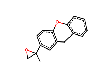 CC1(c2ccc3c(c2)Cc2ccccc2O3)CO1